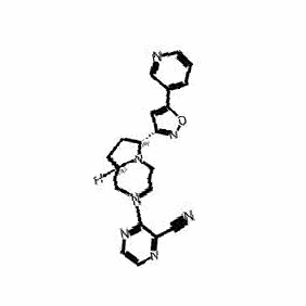 N#Cc1nccnc1N1CCN2[C@@H](CC[C@@H]2c2cc(-c3cccnc3)on2)C1